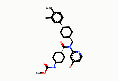 COc1ccc([C@H]2CC[C@H](CN(c3cc(Br)ccn3)C(=O)[C@H]3CC[C@H](NC(=O)OC(C)(C)C)CC3)CC2)cc1C